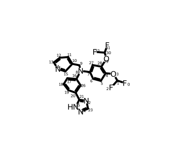 FC(F)Oc1ccc(N(Cc2cccnc2)c2cccc(-c3ncn[nH]3)c2)cc1OC(F)F